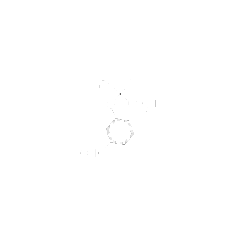 CCCC(C)(Oc1cccc(C=O)c1)C(=O)O